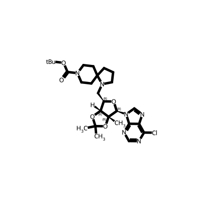 CC(C)(C)OC(=O)N1CCC2(CCCN2C[C@H]2O[C@@H](n3cnc4c(Cl)ncnc43)[C@]3(C)OC(C)(C)O[C@H]23)CC1